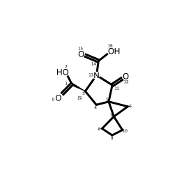 O=C(O)[C@@H]1CC2(CC23CCC3)C(=O)N1C(=O)O